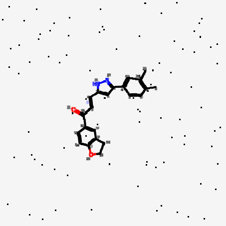 Cc1ccc(-c2cc(/C=C/C(=O)c3ccc4c(c3)CCO4)[nH]n2)cc1C